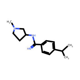 CC(C)c1ccc(C(=N)NC2CCN(C)C2)cc1